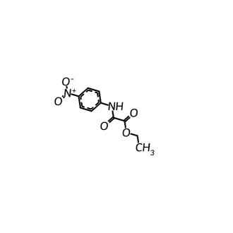 CCOC(=O)C(=O)Nc1ccc([N+](=O)[O-])cc1